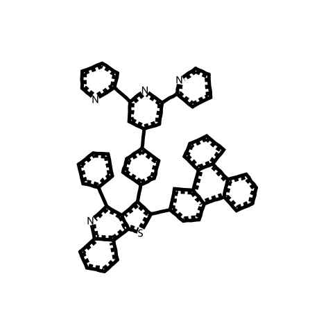 c1ccc(-c2nc3ccccc3c3sc(-c4ccc5c6ccccc6c6ccccc6c5c4)c(-c4ccc(-c5cc(-c6ccccn6)nc(-c6ccccn6)c5)cc4)c23)cc1